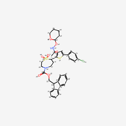 O=C(C[C@]1(c2ccc(-c3ccc(Cl)cc3)s2)CCN(C(=O)OCC2c3ccccc3-c3ccccc32)CCS1(=O)=O)NOC1CCCCO1